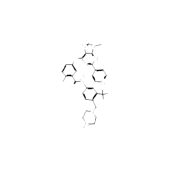 Cc1ccc(Oc2nc(-c3ccncc3)nc3c2ncn3C)cc1C(=O)Nc1ccc(CN2CCN(C)CC2)c(C(F)(F)F)c1